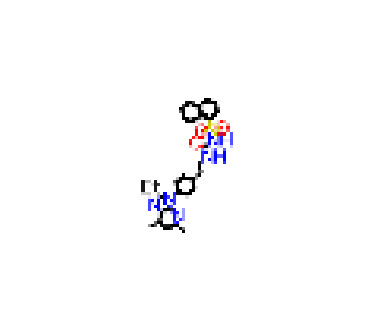 CCc1nc2c(C)cc(C)nc2n1-c1ccc(CCNC(=O)NS(=O)(=O)c2cccc3ccccc23)cc1